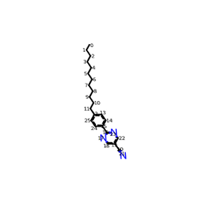 CCCCCCCCCCCCc1ccc(-c2ncc(C#N)cn2)cc1